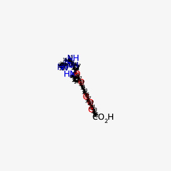 C[C@@H](NC(=O)c1cccc(NCC(=N)N(C)C(=N)c2ccncn2)c1)c1ccc(OCCCCCCOCCOCCOCCCC(=O)O)cc1